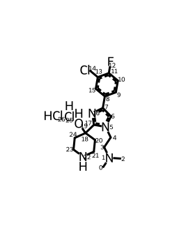 CN(C)CCn1cc(-c2ccc(F)c(Cl)c2)nc1C1(O)CCNCC1.Cl.Cl